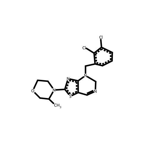 CC1COCCN1c1nc2c(s1)C=NCN2Cc1cccc(Cl)c1Cl